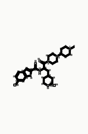 CN1CCC(N2CCN(C(=O)C(CC3CCOCC3)NC(=O)c3cc4ccc(Cl)cc4s3)CC2)CC1.Cl